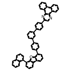 c1cc(-c2ccc(-c3cnc4c5ccccc5c5ccccc5c4n3)cc2)cc(-c2ccc(-c3cccc4c3oc3c(-c5cccc6ccccc56)cccc34)cc2)c1